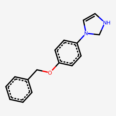 C1=CN(c2ccc(OCc3ccccc3)cc2)CN1